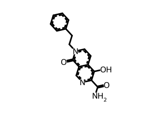 NC(=O)c1ncc2c(=O)n(CCc3ccccc3)ccc2c1O